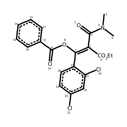 CCOC(=O)C(C(=O)N(C)C)=C(OC(=O)c1ccccc1)c1ccc(Cl)cc1Cl